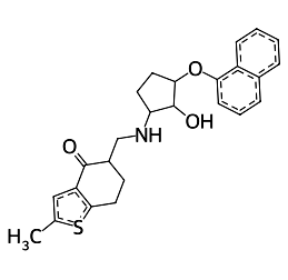 Cc1cc2c(s1)CCC(CNC1CCC(Oc3cccc4ccccc34)C1O)C2=O